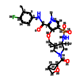 Cc1cc(NC(=O)c2c3c(cn2C)S(=O)(=O)N[C@@H]2CN(C(=O)C45CC(CO4)C5)C[C@]2(C)CO3)ccc1F